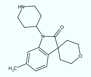 Cc1ccc2c(c1)N(C1CCNCC1)C(=O)C21CCOCC1